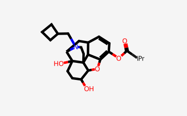 CC(C)C(=O)OC1=C2OC3C(O)CCC4(O)C5CC(C=C1)C2C34CCN5CC1CCC1